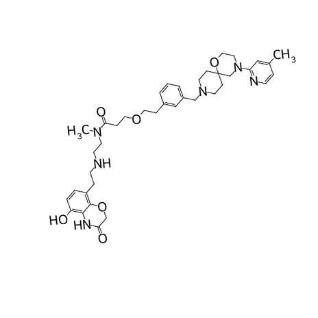 Cc1ccnc(N2CCOC3(CCN(Cc4cccc(CCOCCC(=O)N(C)CCNCCc5ccc(O)c6c5OCC(=O)N6)c4)CC3)C2)c1